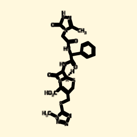 Cc1n[nH]c(=O)n1CC(=O)NC(C(=O)NC1C(=O)N2C(C(=O)O)=C(CSc3nnnn3C)CS[C@H]12)c1ccccc1